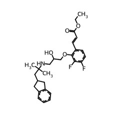 CCOC(=O)C=Cc1ccc(F)c(F)c1OCC(O)CNC(C)(C)CC1Cc2ccccc2C1